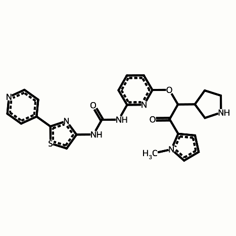 Cn1cccc1C(=O)C(Oc1cccc(NC(=O)Nc2csc(-c3ccncc3)n2)n1)C1CCNC1